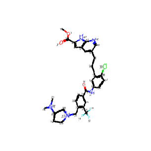 COC(=O)c1cc2cc(CCc3cc(NC(=O)c4ccc(CN5CCC(N(C)C)C5)c(C(F)(F)F)c4)ccc3Cl)cnc2[nH]1